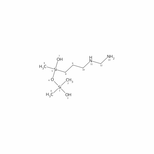 C[Si](C)(O)O[Si](C)(O)CCCNCN